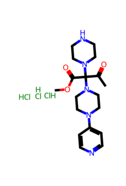 COC(=O)C(C(C)=O)(N1CCNCC1)N1CCN(c2ccncc2)CC1.Cl.Cl.Cl